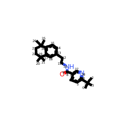 CC(C)(C)c1ccc(C(=O)NCCc2ccc3c(c2)C(C)(C)CCC3(C)C)cn1